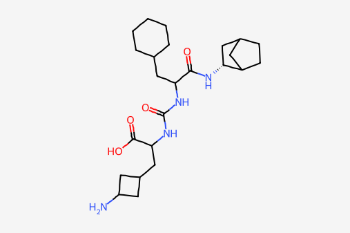 NC1CC(CC(NC(=O)NC(CC2CCCCC2)C(=O)N[C@@H]2CC3CCC2C3)C(=O)O)C1